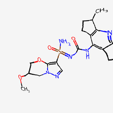 COC1COc2c(S(N)(=O)=NC(=O)Nc3c4c(nc5c3CCC5C)CCC4)cnn2C1